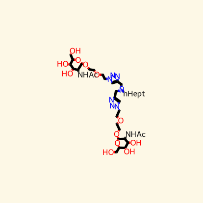 CCCCCCCN(Cc1cn(CCOCCOC2OC(CO)C(O)C(O)C2NC(C)=O)nn1)Cc1cn(CCOCCOC2OC(CO)C(O)C(O)C2NC(C)=O)nn1